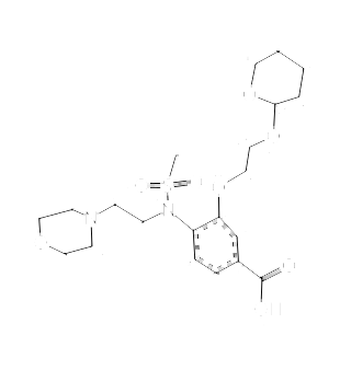 CS(=O)(=O)N(CCN1CCOCC1)c1ccc(C(=O)O)cc1OCCOC1CCCCO1